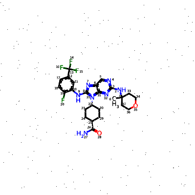 CC1(Nc2ncc3nc(Nc4cc(C(F)(F)F)ccc4F)n([C@H]4CC[C@H](C(N)=O)CC4)c3n2)CCOCC1